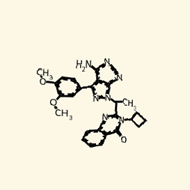 COc1ccc(-c2nn(C(C)c3nc4ccccc4c(=O)n3C3CCC3)c3ncnc(N)c23)cc1OC